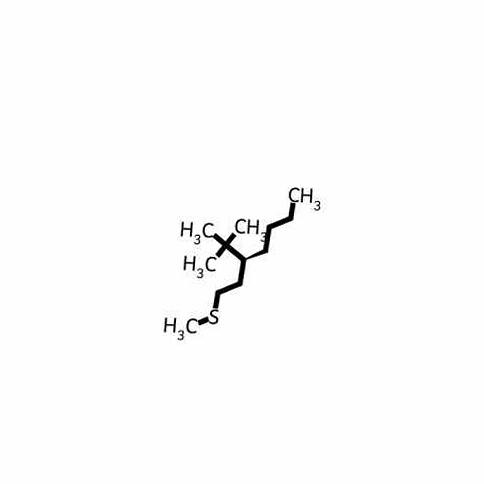 CCCC[C@@H](CCSC)C(C)(C)C